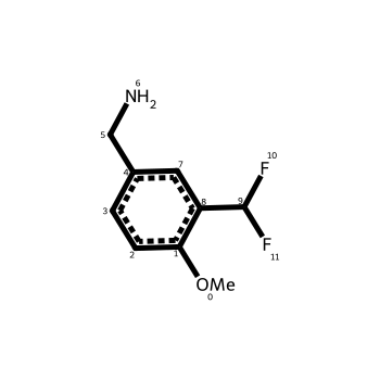 COc1ccc(CN)cc1C(F)F